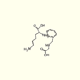 NCCCCC(N)C(=O)O.O=C(O)CNCc1ccccc1